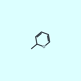 C[C]1C=CC=CO1